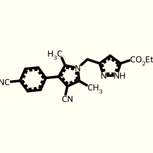 CCOC(=O)c1cc(Cn2c(C)c(C#N)c(-c3ccc(C#N)cc3)c2C)n[nH]1